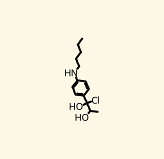 CCCCCNc1ccc(C(O)(Cl)C(C)O)cc1